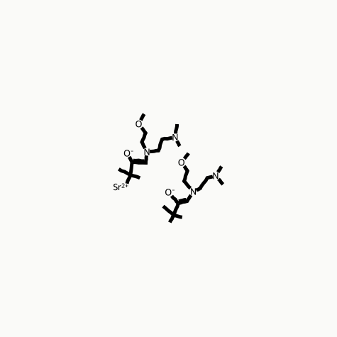 COCCN(/C=C(\[O-])C(C)(C)C)CCN(C)C.COCCN(/C=C(\[O-])C(C)(C)C)CCN(C)C.[Sr+2]